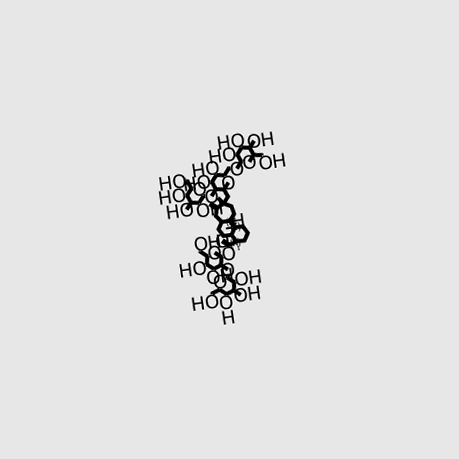 C=C1CC2CCC3[C@](C)(C(=O)OC4OC(CO)C(O)C(O)C4OC4OC(CO)C(O)C(O)C4O)CCC[C@@]3(C)[C@@H]2CCC1(C)CC1OC(COC2OC(CO)C(O)C(O)C2O)C(O)C(O)C1OC1OC(CO)C(O)C(O)C1O